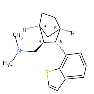 CN(C)C[C@H]1[C@H]2CC[C@H](C2)[C@@H]1c1cccc2ccsc12